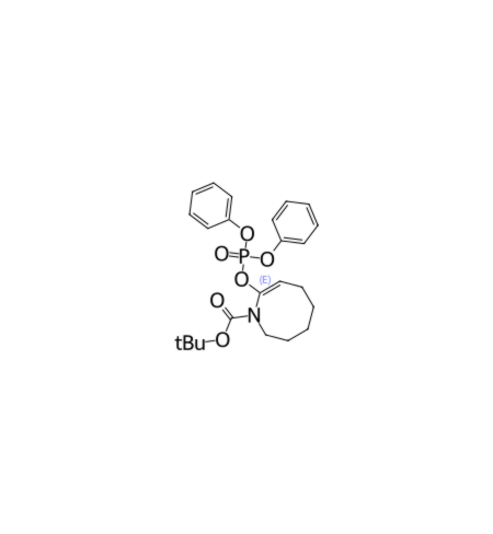 CC(C)(C)OC(=O)N1CCCCC/C=C\1OP(=O)(Oc1ccccc1)Oc1ccccc1